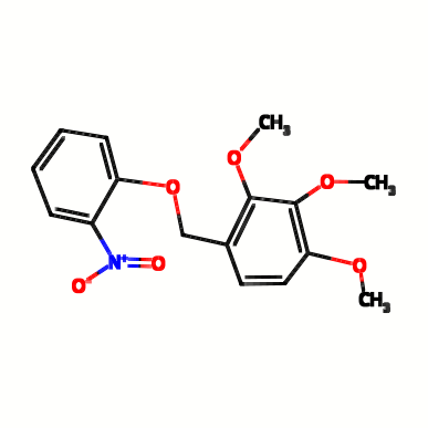 COc1ccc(COc2ccccc2[N+](=O)[O-])c(OC)c1OC